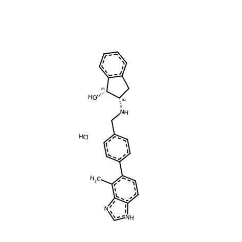 Cc1c(-c2ccc(CN[C@H]3Cc4ccccc4[C@H]3O)cc2)ccc2[nH]cnc12.Cl